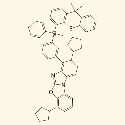 CC1(C)c2ccccc2Sc2c1cccc2[Si](C)(c1ccccc1)c1cccc(-c2c(C3CCCC3)ccc3c2nc2oc4c(C5CCCC5)cccc4n23)c1